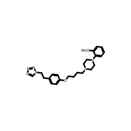 COc1ccccc1N1CCN(CCCCOc2ccc(CCn3cnnn3)cc2)CC1